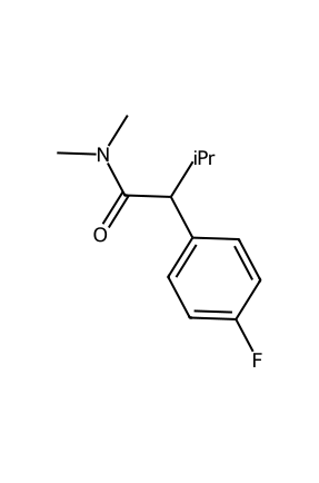 CC(C)C(C(=O)N(C)C)c1ccc(F)cc1